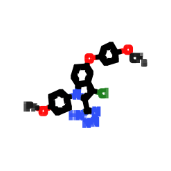 CC(C)Oc1ccc(-n2c(-c3nnn[nH]3)c(Cl)c3cc(Oc4ccc(OC(F)(F)F)cc4)ccc32)cc1